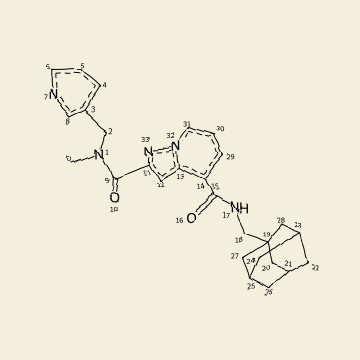 CN(Cc1cccnc1)C(=O)c1cc2c(C(=O)NCC34CC5CC(CC(C5)C3)C4)cccn2n1